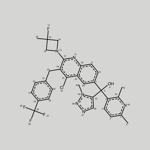 Cc1ccc(C(O)(c2ccc3nc(N4CC(C)(F)C4)c(Cc4ccc(C(F)(F)F)cc4)c(Cl)c3c2)c2cnnn2C)c(C)n1